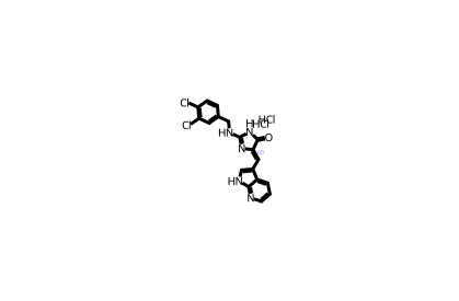 Cl.Cl.O=C1NC(NCc2ccc(Cl)c(Cl)c2)=N/C1=C\c1c[nH]c2ncccc12